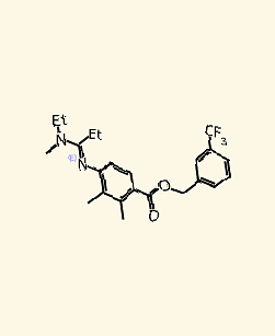 CC/C(=N\c1ccc(C(=O)OCc2cccc(C(F)(F)F)c2)c(C)c1C)N(C)CC